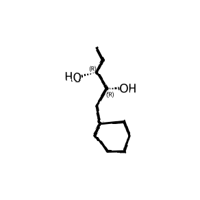 CC[C@@H](O)[C@H](O)CC1CCCCC1